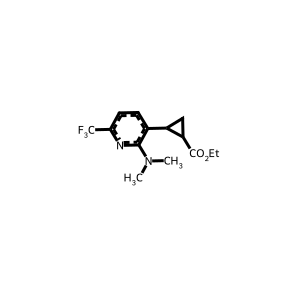 CCOC(=O)C1CC1c1ccc(C(F)(F)F)nc1N(C)C